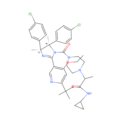 CCOc1cc(C(C)(C)C)ncc1C1=N[C@@](C)(c2ccc(Cl)cc2)[C@@](C)(c2ccc(Cl)cc2)N1C(=O)N1CCN(C(C)C(=O)NC2CC2)CC1